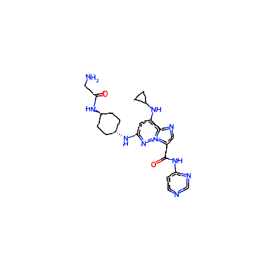 NCC(=O)N[C@H]1CC[C@H](Nc2cc(NC3CC3)c3ncc(C(=O)Nc4ccncn4)n3n2)CC1